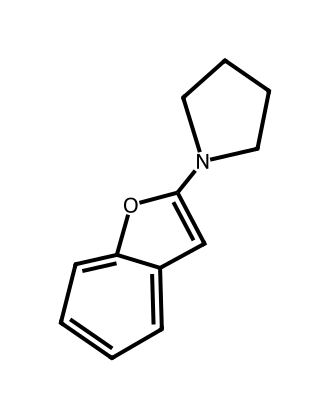 c1ccc2oc(N3CCCC3)cc2c1